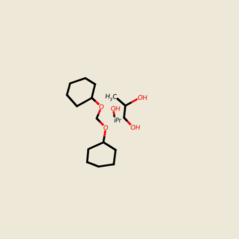 C1CCC(OCOC2CCCCC2)CC1.CC(C)O.CC(O)CO